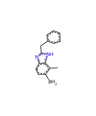 Bc1ccc2nc(Cc3ccccc3)[nH]c2c1C